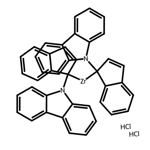 C1=C[C]([Zr][C]2(n3c4ccccc4c4ccccc43)C=Cc3ccccc32)(n2c3ccccc3c3ccccc32)c2ccccc21.Cl.Cl